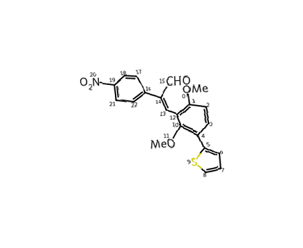 COc1ccc(-c2cccs2)c(OC)c1C=C(C=O)c1ccc([N+](=O)[O-])cc1